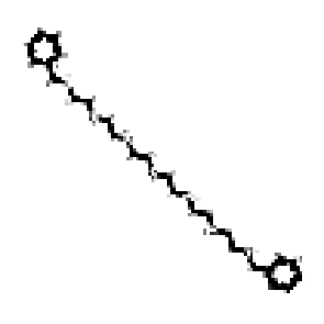 c1ccc(COCCOCCOCCOCCOCCOCCOCc2ccccc2)cc1